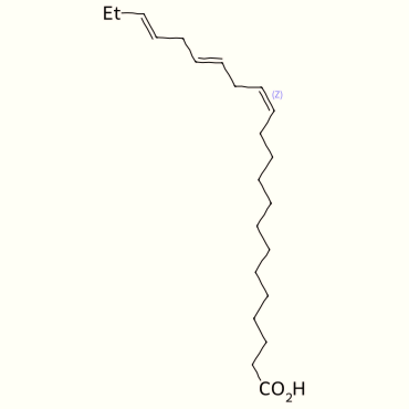 CCC=CCC=CC/C=C\CCCCCCCCCCCC(=O)O